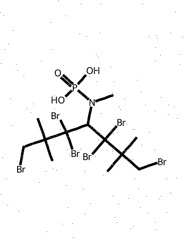 CN(C(C(Br)(Br)C(C)(C)CBr)C(Br)(Br)C(C)(C)CBr)P(=O)(O)O